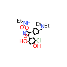 CCNC(=O)Oc1noc(-c2cc(Cl)c(O)cc2O)c1-c1ccc(CN(CC)CC)cc1